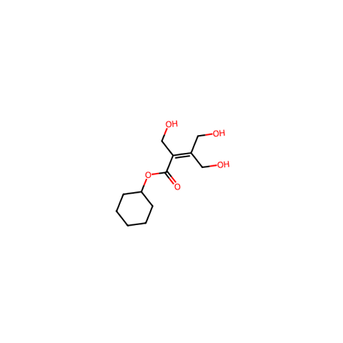 O=C(OC1CCCCC1)C(CO)=C(CO)CO